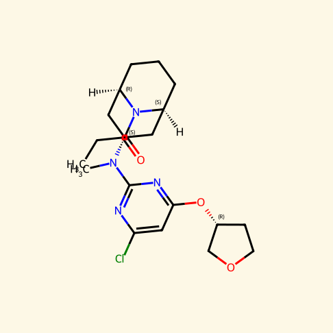 CCC(=O)N1[C@@H]2CCC[C@H]1C[C@H](N(C)c1nc(Cl)cc(O[C@@H]3CCOC3)n1)C2